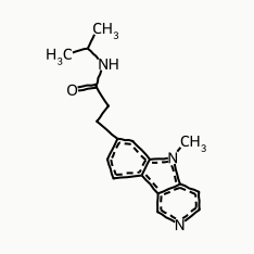 CC(C)NC(=O)CCc1ccc2c3cnccc3n(C)c2c1